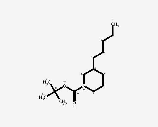 CCCCCC1CCCN(C(=O)OC(C)(C)C)C1